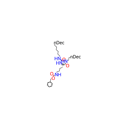 CCCCCCCCCCCCCCCCNC(=O)N[C@@H](CCCCNC(=O)OCc1ccccc1)C(=O)NCCCCCCCCCCCC